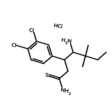 CCC(C)(C)C(N)C(CC(N)=S)c1ccc(Cl)c(Cl)c1.Cl